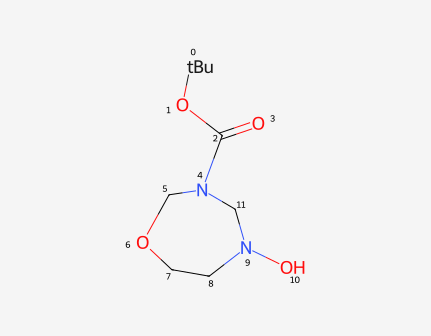 CC(C)(C)OC(=O)N1COCCN(O)C1